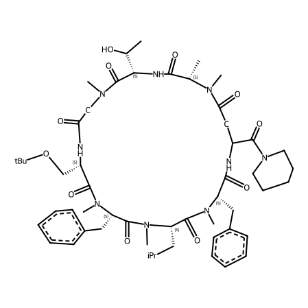 CC(C)C[C@H]1C(=O)N(C)[C@@H](Cc2ccccc2)C(=O)NC(C(=O)N2CCCCC2)CC(=O)N(C)[C@@H](C)C(=O)N[C@@H](C(C)O)C(=O)N(C)CC(=O)N[C@@H](COC(C)(C)C)C(=O)N(C)[C@@H](Cc2ccccc2)C(=O)N1C